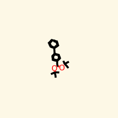 CC(C)(C)OC(OC(C)(C)C)c1ccc(-c2ccccc2)cc1